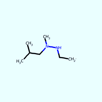 [CH2]CNN(C)CC(C)C